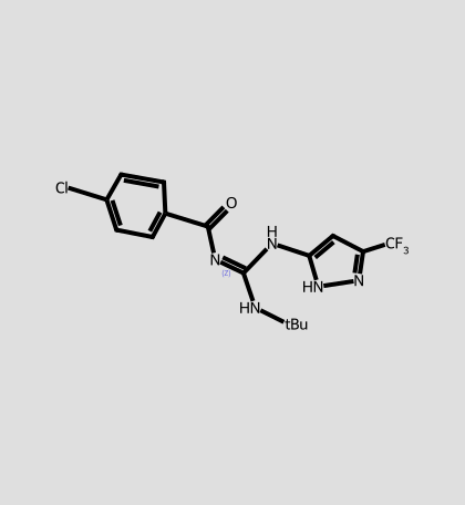 CC(C)(C)N/C(=N/C(=O)c1ccc(Cl)cc1)Nc1cc(C(F)(F)F)n[nH]1